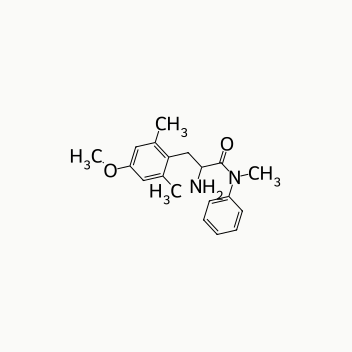 COc1cc(C)c(CC(N)C(=O)N(C)c2ccccc2)c(C)c1